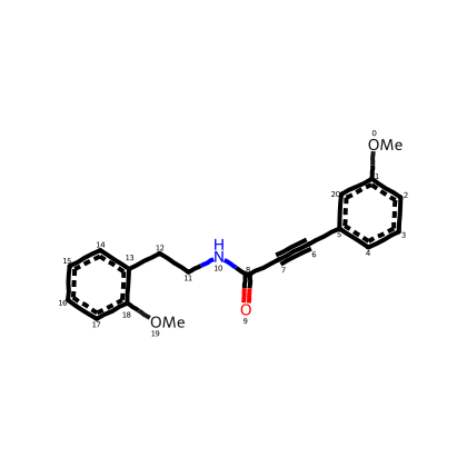 COc1cccc(C#CC(=O)NCCc2ccccc2OC)c1